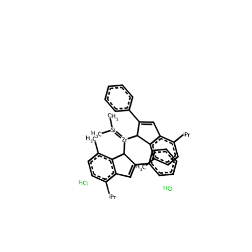 Cc1ccc(C(C)C)c2c1[CH]([Zr]([CH]1C(c3ccccc3)=Cc3c(C(C)C)ccc(C)c31)=[Si](C)C)C(c1ccccc1)=C2.Cl.Cl